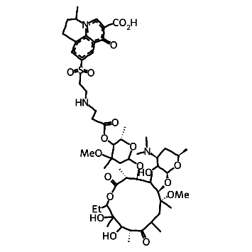 CCC1OC(=O)[C@H](C)[C@@H](OC2CC(C)(OC)C(OC(=O)CCNCCS(=O)(=O)c3cc4c5c(c3)c(=O)c(C(=O)O)cn5C(C)CC4)[C@H](C)O2)C(C)[C@@H](O[C@@H]2O[C@H](C)C[C@H](N(C)C)C2O)[C@](C)(OC)CC(C)C(=O)[C@H](C)C(O)C1(C)O